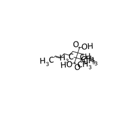 CC=CCCCC(CC)(C(=O)O)C(C)(C(=O)O)C(C)(C)C